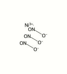 O=N[O-].O=N[O-].O=N[O-].[Ni+3]